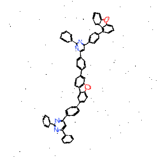 c1ccc(-c2cc(-c3ccc(-c4ccc5oc6cc(-c7ccc(-c8cc(-c9ccc(-c%10cccc%11oc%12ccccc%12c%10%11)cc9)nc(-c9ccccc9)n8)cc7)ccc6c5c4)cc3)nc(-c3ccccc3)n2)cc1